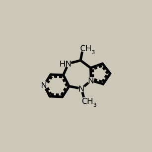 CC1Nc2cnccc2N(C)n2cccc21